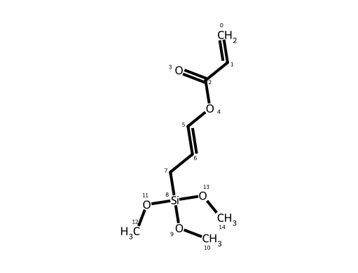 C=CC(=O)OC=CC[Si](OC)(OC)OC